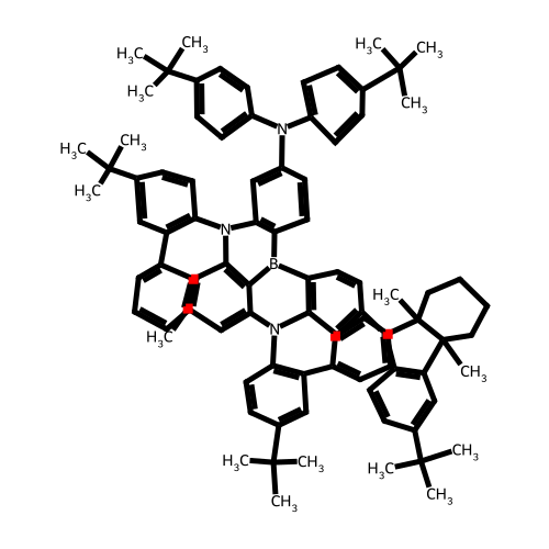 Cc1cc2c3c(c1)N(c1ccc(C(C)(C)C)cc1-c1ccccc1)c1cc(N4c5ccc(C(C)(C)C)cc5C5(C)CCCCC45C)ccc1B3c1ccc(N(c3ccc(C(C)(C)C)cc3)c3ccc(C(C)(C)C)cc3)cc1N2c1ccc(C(C)(C)C)cc1-c1ccccc1